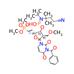 COC[C@@H]1[C@H](OP(O)N(C(C)C)C(C)(C)CCC#N)[C@@H](/C=C/P(=O)(OC)OC)O[C@H]1n1ccc(=O)n(C(=O)c2ccccc2)c1=O